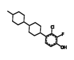 CC1CCC(C2CCC(c3ccc(O)c(F)c3Cl)CC2)CC1